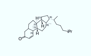 CC(C)CCCC(C)[C@H]1CC[C@H]2[C@@H]3CCC4CC(=O)C=C[C@]4(C)[C@H]3CC[C@]12C